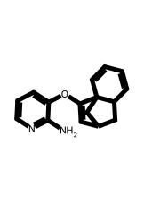 Nc1ncccc1OC1=CC2CC3C=CC=CC13C2